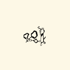 CSc1ncc2c(C)c(Br)c(=O)n([C@H]3C[C@H](O[Si](c4ccccc4)(c4ccccc4)C(C)(C)C)C3)c2n1